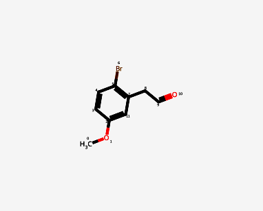 COc1ccc(Br)c(CC=O)c1